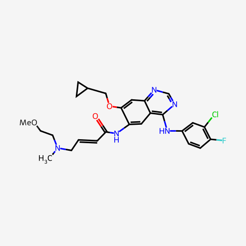 COCCN(C)C/C=C/C(=O)Nc1cc2c(Nc3ccc(F)c(Cl)c3)ncnc2cc1OCC1CC1